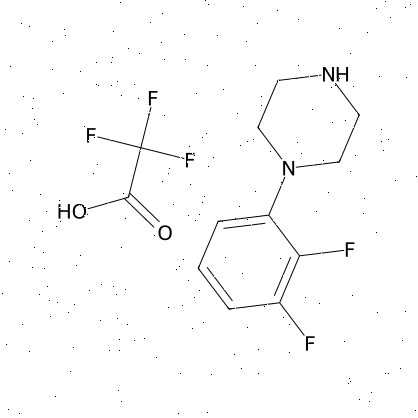 Fc1cccc(N2CCNCC2)c1F.O=C(O)C(F)(F)F